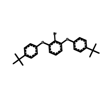 CC(C)(C)c1ccc(Oc2cccc(Oc3ccc(C(C)(C)C)cc3)c2Br)cc1